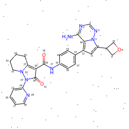 Nc1ncnn2c(C3COC3)cc(-c3ccc(NC(=O)c4c5n(n(-c6ccccn6)c4=O)CCCC5)cc3)c12